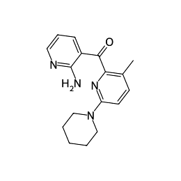 Cc1ccc(N2CCCCC2)nc1C(=O)c1cccnc1N